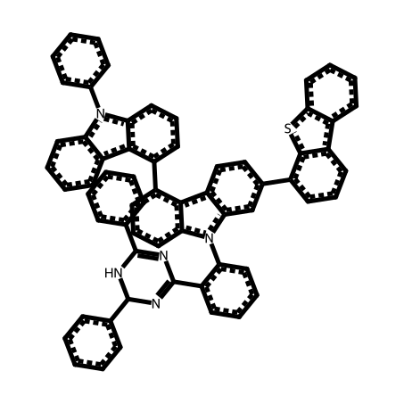 c1ccc(C2=NC(c3ccccc3-n3c4cc(-c5cccc6c5sc5ccccc56)ccc4c4c(-c5cccc6c5c5ccccc5n6-c5ccccc5)cccc43)=NC(c3ccccc3)N2)cc1